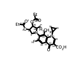 CCC(=O)OC1CN(c2c(F)cc3c(=O)c(C(=O)O)cn(C4CC4)c3c2C)C(C)C1OC(=O)CC